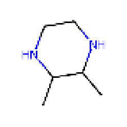 CC1NCCNC1C